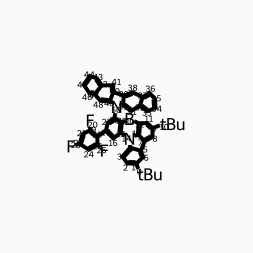 CC(C)(C)c1ccc2c(c1)c1cc(C(C)(C)C)cc3c1n2-c1cc(-c2c(F)cc(F)cc2F)cc2c1B3c1c3ccccc3cc3c4cc5ccccc5cc4n-2c13